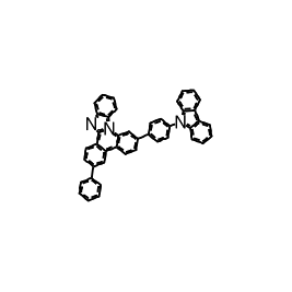 c1ccc(-c2ccc3c(c2)c2ccc(-c4ccc(-n5c6ccccc6c6ccccc65)cc4)cc2n2c4ccccc4nc32)cc1